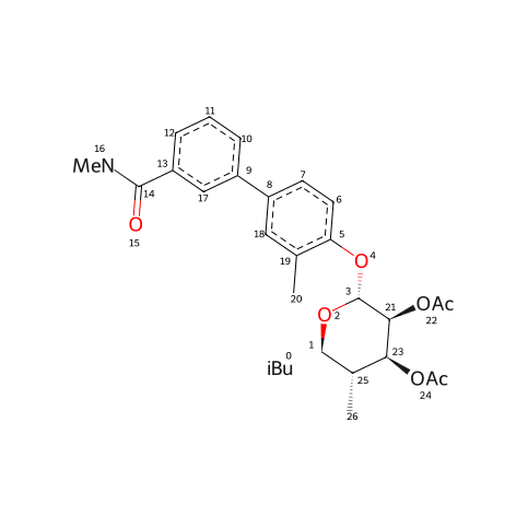 CC[C@H](C)[C@H]1O[C@H](Oc2ccc(-c3cccc(C(=O)NC)c3)cc2C)[C@@H](OC(C)=O)[C@@H](OC(C)=O)[C@@H]1C